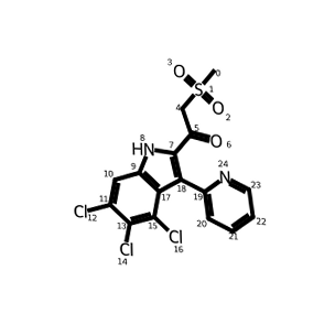 CS(=O)(=O)CC(=O)c1[nH]c2cc(Cl)c(Cl)c(Cl)c2c1-c1ccccn1